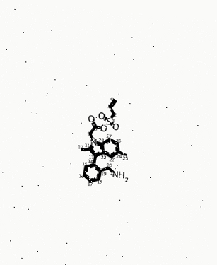 C=CCS(=O)(=O)OC(=O)Cn1c(C)c(-c2ccccc2CN)c2cc(C)ccc21